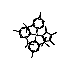 CC1=C(C)C(C)C([Si](c2ccc(C)cc2N(C)C)(c2ccc(C)cc2N(C)C)c2ccc(C)cc2N(C)C)=C1C